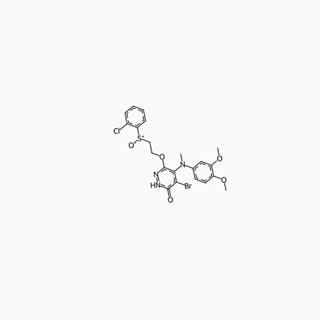 COc1ccc(N(C)c2c(OCC[S+]([O-])c3ccccc3Cl)n[nH]c(=O)c2Br)cc1OC